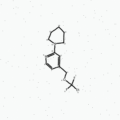 CCC(F)(F)OCc1ccnc(N2CCCCC2)c1